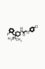 CN(C)C1(Cc2ccccc2F)CCC(NC(=O)COc2ccc(Cl)cc2)CC1